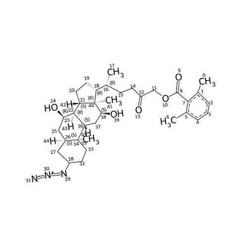 Cc1cccc(C)c1C(=O)OCC(=O)CC[C@@H](C)[C@H]1CC[C@H]2[C@@H]3[C@H](O)C[C@@H]4CC(N=[N+]=[N-])CC[C@]4(C)[C@H]3C[C@H](O)[C@]12C